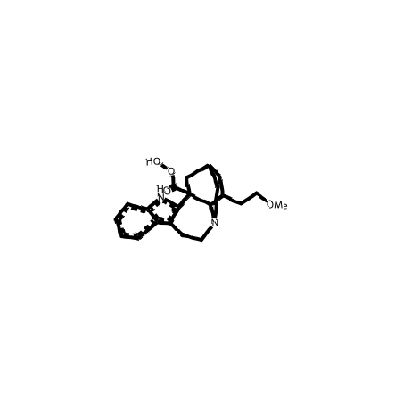 COCCC1CC2CN3CCc4c([nH]c5ccccc45)C(C(=O)OO)(C2)C13